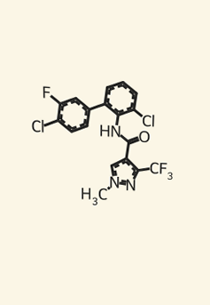 Cn1cc(C(=O)Nc2c(Cl)cccc2-c2ccc(Cl)c(F)c2)c(C(F)(F)F)n1